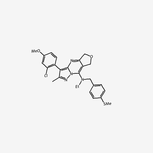 CCN(Cc1ccc(SC)cc1)c1c2c(nc3c(-c4ccc(OC)cc4Cl)c(C)nn13)COC2